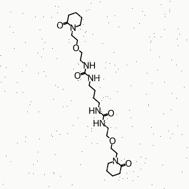 O=C(NCCCCNC(=O)NCCOCCN1CCCCC1=O)NCCOCCN1CCCCC1=O